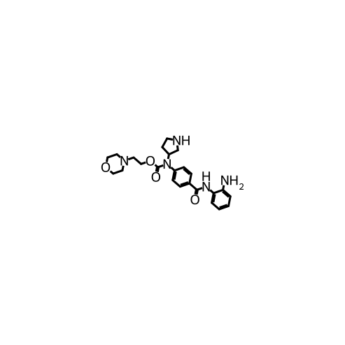 Nc1ccccc1NC(=O)c1ccc(N(C(=O)OCCN2CCOCC2)C2CCNC2)cc1